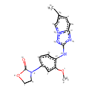 COc1cc(N2CCOC2=O)ccc1Nc1nc2ccc(C)cn2n1